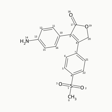 CS(=O)(=O)c1ccc(C2=C(c3ccc(N)cc3)C(=O)OC2)cc1